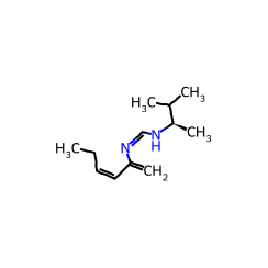 C=C(/C=C\CC)/N=C\N[C@H](C)C(C)C